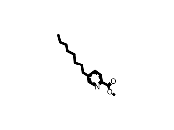 CCCCCCCCc1ccc(C(=O)OC)nc1